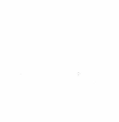 CCCP1C(c2ccccc2)=C1c1ccccc1